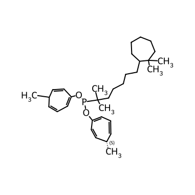 CC1C=CC=C(OP(OC2=CC=C[C@H](C)C=C2)C(C)(C)CCCCCC2CCCCCC2(C)C)C=C1